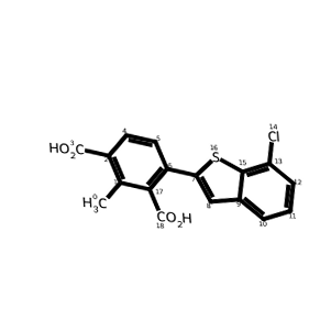 Cc1c(C(=O)O)ccc(-c2cc3cccc(Cl)c3s2)c1C(=O)O